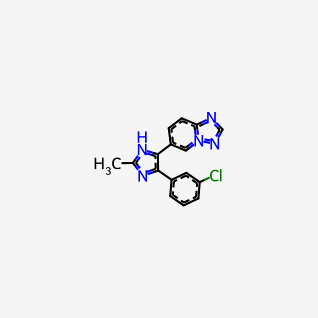 Cc1nc(-c2cccc(Cl)c2)c(-c2ccc3ncnn3c2)[nH]1